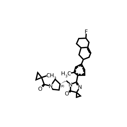 Cc1cc(C2CC=C3CC(F)CCC3C2)ccc1C1=NC2(CC2)C(=O)N1C[C@@H]1CCN(C(=O)C2(C)CC2)C1